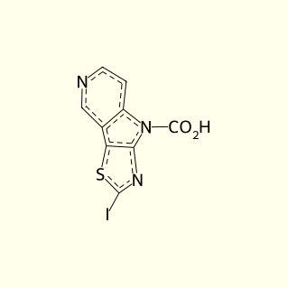 O=C(O)n1c2ccncc2c2sc(I)nc21